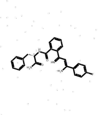 N=C(/C=C(\N)c1ccc(F)cc1)c1ccccc1C(=O)N[C@@H](Cc1ccccc1)C(N)=O